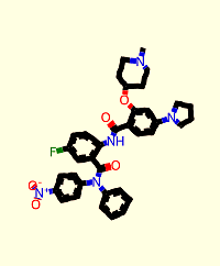 CN1CCC(Oc2cc(N3CCCC3)ccc2C(=O)Nc2ccc(F)cc2C(=O)N(c2ccccc2)c2ccc([N+](=O)[O-])cc2)CC1